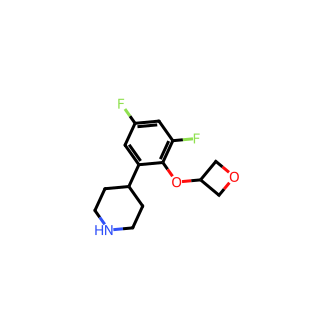 Fc1cc(F)c(OC2COC2)c(C2CCNCC2)c1